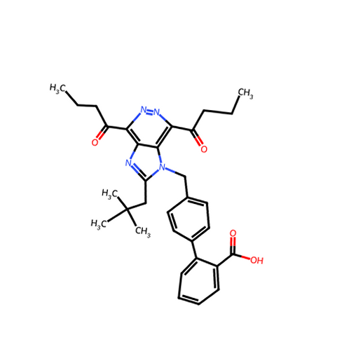 CCCC(=O)c1nnc(C(=O)CCC)c2c1nc(CC(C)(C)C)n2Cc1ccc(-c2ccccc2C(=O)O)cc1